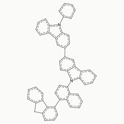 c1ccc(-n2c3ccccc3c3cc(-c4ccc5c(c4)c4ccccc4n5-c4ccc(-c5cccc6c5-c5ccccc5C6)c5ccccc45)ccc32)cc1